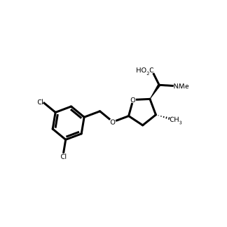 CNC(C(=O)O)[C@@H]1OC(OCc2cc(Cl)cc(Cl)c2)C[C@H]1C